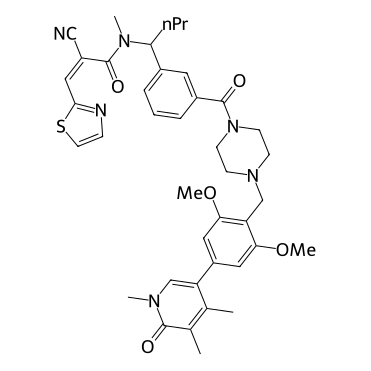 CCCC(c1cccc(C(=O)N2CCN(Cc3c(OC)cc(-c4cn(C)c(=O)c(C)c4C)cc3OC)CC2)c1)N(C)C(=O)/C(C#N)=C\c1nccs1